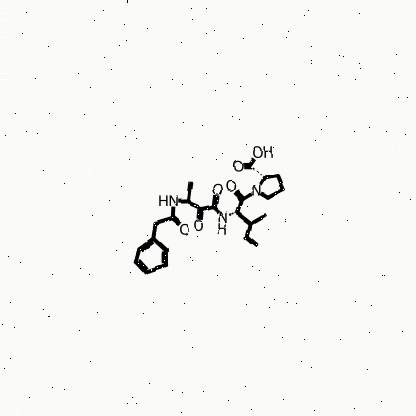 CCC(C)[C@H](NC(=O)C(=O)C(C)NC(=O)Cc1ccccc1)C(=O)N1CCC[C@H]1C(=O)O